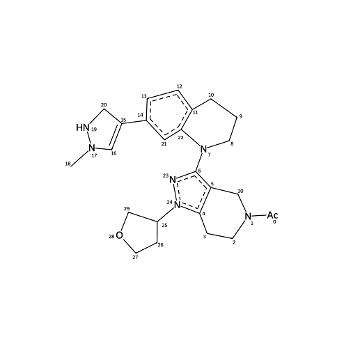 CC(=O)N1CCc2c(c(N3CCCc4ccc(C5=CN(C)NC5)cc43)nn2C2CCOC2)C1